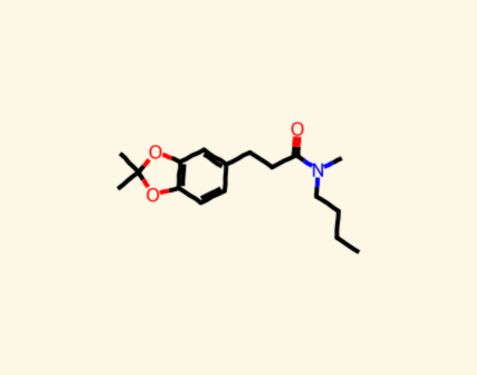 CCCCN(C)C(=O)CCc1ccc2c(c1)OC(C)(C)O2